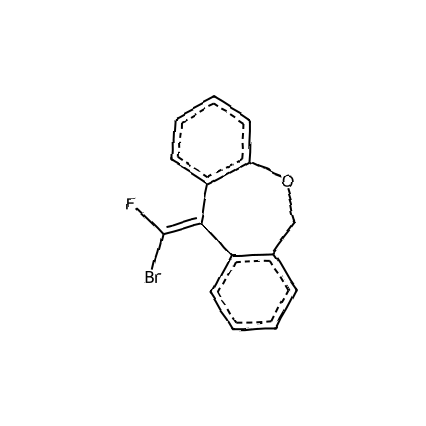 FC(Br)=C1c2ccccc2COc2ccccc21